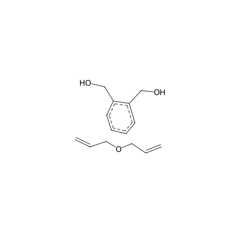 C=CCOCC=C.OCc1ccccc1CO